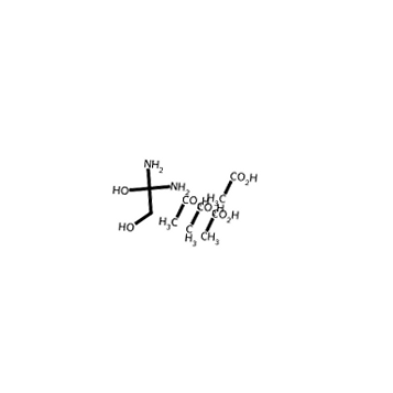 CC(=O)O.CC(=O)O.CC(=O)O.CC(=O)O.NC(N)(O)CO